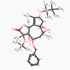 CC1=C2[C@@H]3OC(=O)[C@@](C)(O[Si](C)(C)C)[C@@]3(O)[C@H](OCc3ccccc3)C[C@](C)(O)[C@H]2C[C@H]1O[Si](C)(C)C(C)(C)C